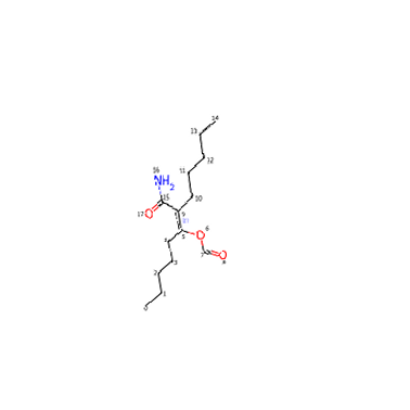 CCCCC/C(OC=O)=C(/CCCCC)C(N)=O